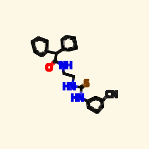 N#Cc1cccc(NC(=S)NCCNC(=O)C(c2ccccc2)c2ccccc2)c1